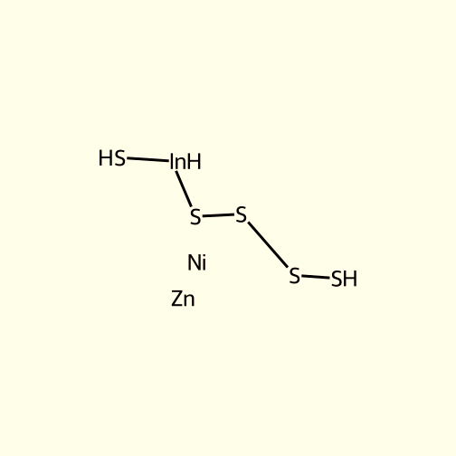 SSS[S][InH][SH].[Ni].[Zn]